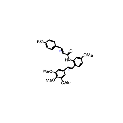 COc1ccc(/C=C/c2cc(OC)c(OC)c(OC)c2)c(NC(=O)/C=C/c2ccc(C(F)(F)F)cc2)c1